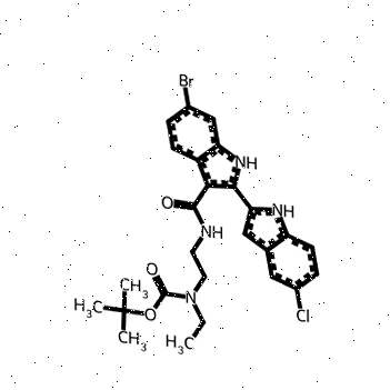 CCN(CCNC(=O)c1c(-c2cc3cc(Cl)ccc3[nH]2)[nH]c2cc(Br)ccc12)C(=O)OC(C)(C)C